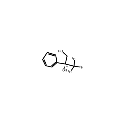 [2H]C([2H])([2H])[C@](O)(CO)c1ccccc1